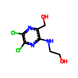 OCCNc1nc(Cl)c(Cl)nc1CO